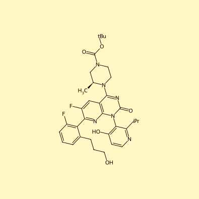 CC(C)c1nccc(O)c1-n1c(=O)nc(N2CCN(C(=O)OC(C)(C)C)C[C@@H]2C)c2cc(F)c(-c3c(F)cccc3CCCO)nc21